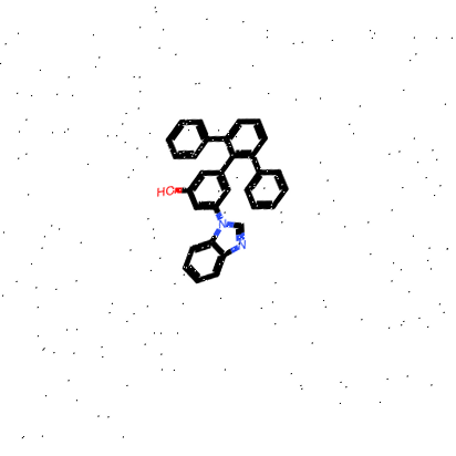 Oc1cc(-c2c(-c3ccccc3)cccc2-c2ccccc2)cc(-n2cnc3ccccc32)c1